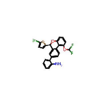 Nc1ccccc1-c1ccc2c(c1)C(c1ccc(Br)s1)Oc1cccc(OC(F)F)c1-2